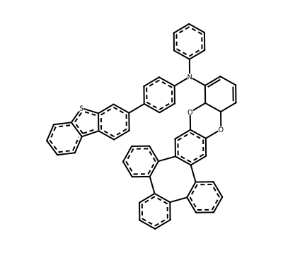 C1=CC2Oc3cc4c(cc3OC2C(N(c2ccccc2)c2ccc(-c3ccc5c(c3)sc3ccccc35)cc2)=C1)-c1ccccc1-c1ccccc1-c1ccccc1-4